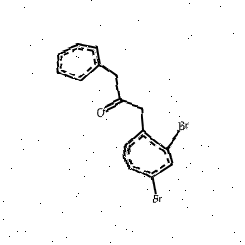 O=C(Cc1ccccc1)Cc1ccc(Br)cc1Br